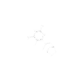 Cc1c(N)nc(N)nc1N1CC2CCC(C1)O2